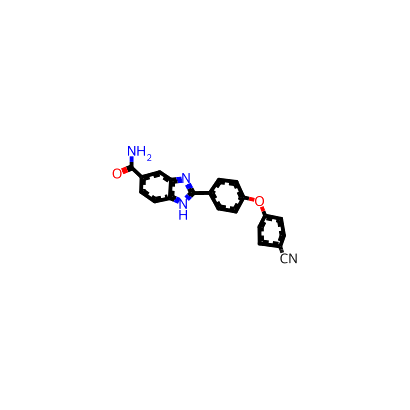 N#Cc1ccc(Oc2ccc(-c3nc4cc(C(N)=O)ccc4[nH]3)cc2)cc1